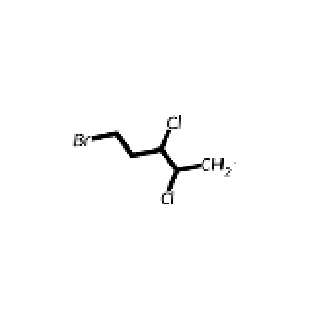 [CH2]C(Cl)C(Cl)CCBr